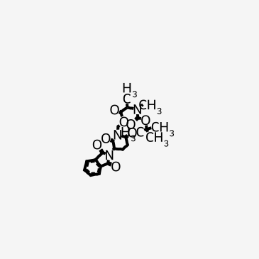 CC(C(=O)OCN1C(=O)CCC(N2C(=O)c3ccccc3C2=O)C1=O)N(C)C(=O)OC(C)(C)C